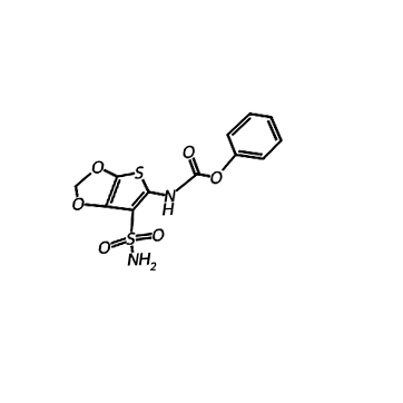 NS(=O)(=O)c1c(NC(=O)Oc2ccccc2)sc2c1OCO2